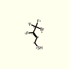 FC(=CCS)C(F)(F)Br